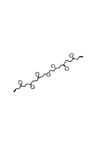 C=CCC(=O)CCC(=O)CCC(=O)CCOCCC(=O)CCC(=O)CCC(=O)CC=C